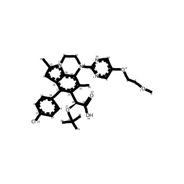 COCCOc1cnc(N2CCn3c(C)cc4c(-c5ccc(Cl)cc5)c([C@H](OC(C)(C)C)C(=O)O)c(C)c2c43)nc1